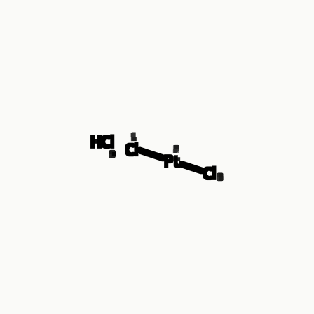 Cl.[Cl][Pt][Cl]